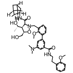 COc1ccccc1CCNC(=O)c1cc(-c2cccc(CN3O[C@@H](CO)[C@@H]([C@H](C)O)C3C(=O)N[C@H]3C[C@H]4C[C@@H]([C@@H]3C)C4(C)C)c2OC)cc(N(C)C)c1